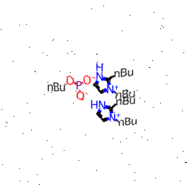 CCCCOP([O-])[O-].CCCCc1[nH]cc[n+]1CCCC.CCCCc1[nH]cc[n+]1CCCC